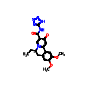 CC[C@@H]1Cc2cc(OC)c(OC)cc2-c2cc(=O)c(C(=O)Nc3nnn[nH]3)cn21